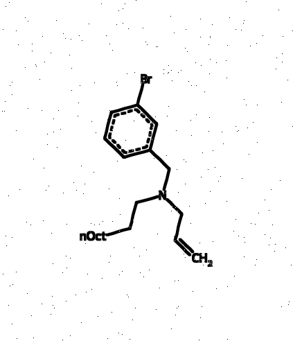 C=CCN(CCCCCCCCCC)Cc1cccc(Br)c1